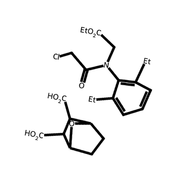 CCOC(=O)CN(C(=O)CCl)c1c(CC)cccc1CC.O=C(O)C1C2CCC(O2)C1C(=O)O